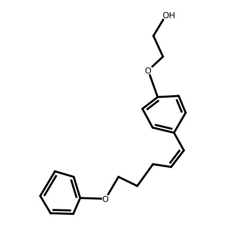 OCCOc1ccc(/C=C\CCCOc2ccccc2)cc1